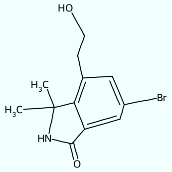 CC1(C)NC(=O)c2cc(Br)cc(CCO)c21